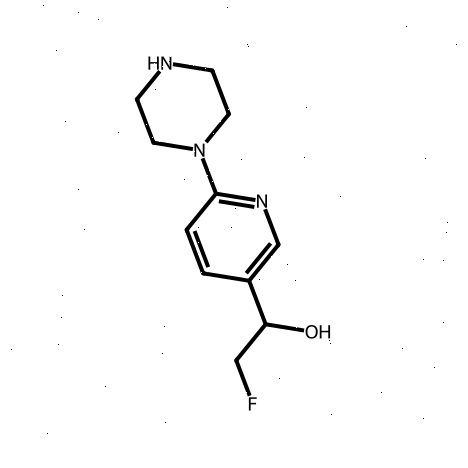 OC(CF)c1ccc(N2CCNCC2)nc1